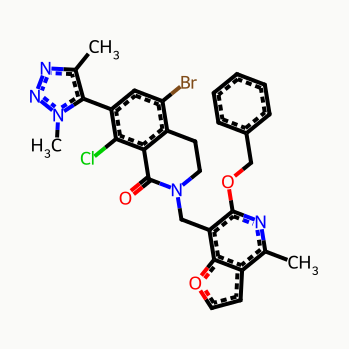 Cc1nnn(C)c1-c1cc(Br)c2c(c1Cl)C(=O)N(Cc1c(OCc3ccccc3)nc(C)c3ccoc13)CC2